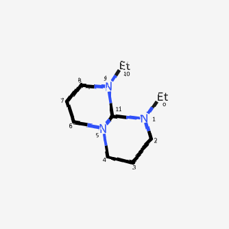 CCN1CCCN2CCCN(CC)C12